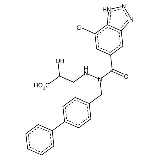 O=C(O)C(O)CNN(Cc1ccc(-c2ccccc2)cc1)C(=O)c1cc(Cl)c2[nH]nnc2c1